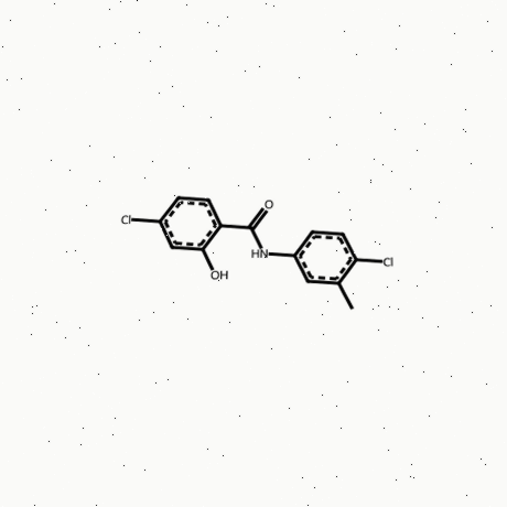 Cc1cc(NC(=O)c2ccc(Cl)cc2O)ccc1Cl